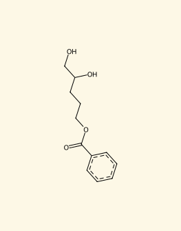 O=C(OCCCC(O)CO)c1ccccc1